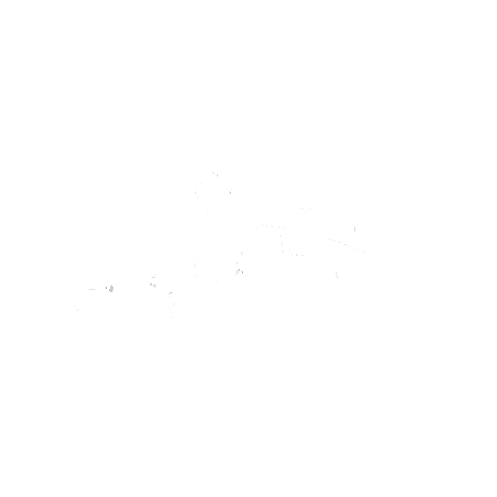 Cn1ccc(-c2cc(C(=O)NCC3COC(=O)N3)cnc2Oc2ccc(C(F)(F)F)cc2)n1